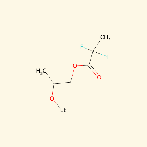 CCOC(C)COC(=O)C(C)(F)F